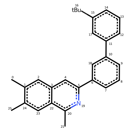 Cc1cc2cc(-c3cccc(-c4cccc(C(C)(C)C)c4)c3)nc(C)c2cc1C